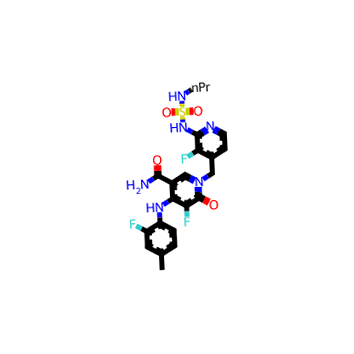 CCCNS(=O)(=O)Nc1nccc(Cn2cc(C(N)=O)c(Nc3ccc(C)cc3F)c(F)c2=O)c1F